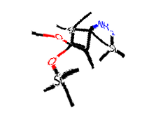 COC(O[Si](C)(C)C)=C(C)C(N)([Si](C)(C)C)[Si](C)(C)C